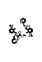 CCOC(=O)C(=O)N(Cc1ccccn1)Cc1cccc(N(C)C)c1C.Cc1c(CNCc2ccccn2)cccc1N(C)C